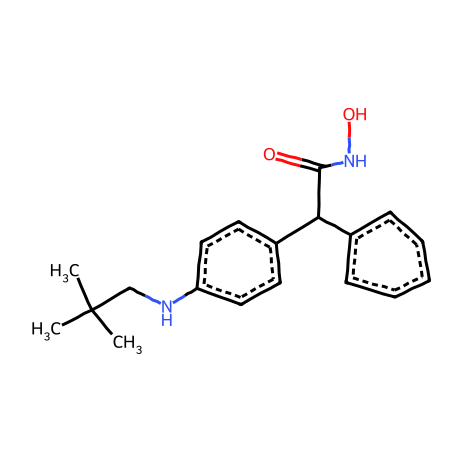 CC(C)(C)CNc1ccc(C(C(=O)NO)c2ccccc2)cc1